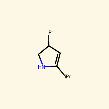 CC(C)C1=CC(C(C)C)CN1